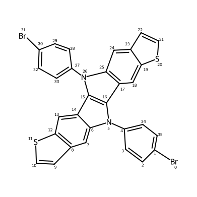 Brc1ccc(-n2c3cc4ccsc4cc3c3c2c2cc4sccc4cc2n3-c2ccc(Br)cc2)cc1